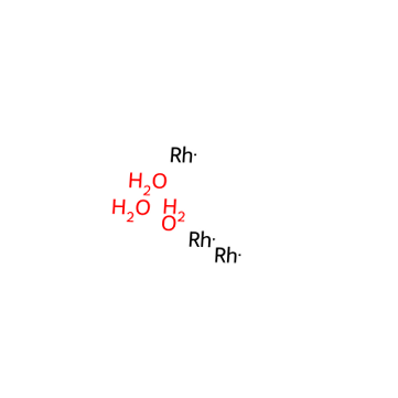 O.O.O.[Rh].[Rh].[Rh]